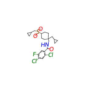 O=C(NCC1(CC2CC2)CCC(S(=O)(=O)CC2CC2)CC1)c1cc(F)c(Cl)cc1Cl